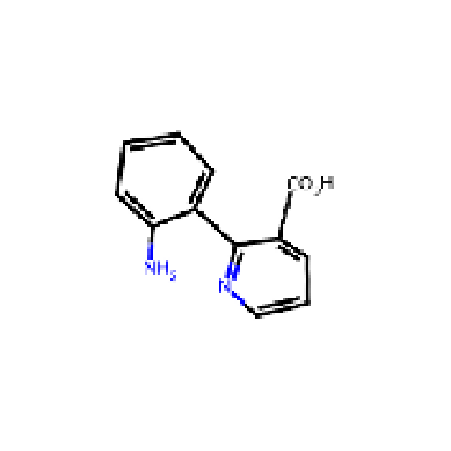 Nc1ccccc1-c1ncccc1C(=O)O